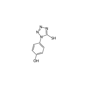 Oc1ccc(-n2nnnc2S)cc1